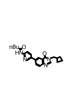 CCCCC(=O)Nc1ccc(-c2ccc3ncn(CC4CCC4)c(=O)c3c2)cn1